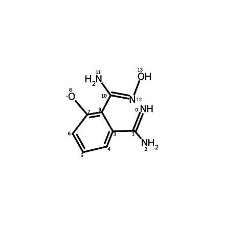 N=C(N)c1cccc([O])c1C(N)=NO